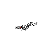 COC[C@]12CC[C@@](C)(O)C[C@@H]1CC[C@H]1[C@@H]3CC[C@H](C(=O)Cn4ncc5cc(F)ccc54)[C@@]3(C)CC[C@@H]12